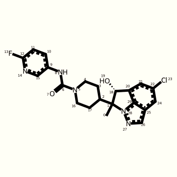 CC1(C2CCN(C(=O)Nc3ccc(F)nc3)CC2)[C@H](O)c2cc(Cl)cc3cnn1c23